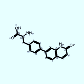 N[C@@H](Cc1ccc(-c2ccc3ccc(=O)[nH]c3c2)cc1)C(=O)O